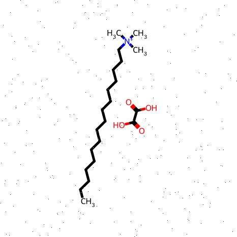 CCCCCCCCCCCCCCCC[N+](C)(C)C.O=C(O)C(=O)O